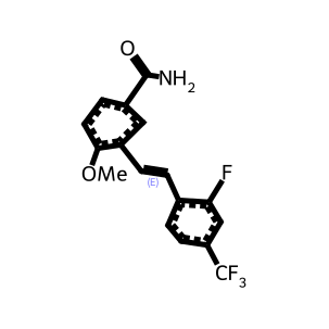 COc1ccc(C(N)=O)cc1/C=C/c1ccc(C(F)(F)F)cc1F